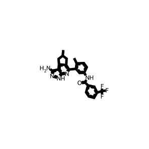 Cc1ccc(NC(=O)c2cccc(C(F)(F)F)c2)cc1-c1nc2[nH]nc(N)c2c2c1CC(C)C2